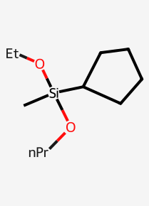 CCCO[Si](C)(OCC)C1CCCC1